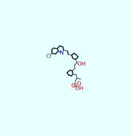 CC(Cc1ccccc1CC[C@H](O)c1cccc(C=Cc2ccc3ccc(Cl)cc3n2)c1)CS(=O)(=O)O